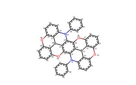 c1ccc(N2c3cccc4c3B3c5c(cccc5Oc5c3c2c2c3c5N(c5ccccc5)c5cccc6c5B3c3c(cccc3O2)O6)O4)cc1